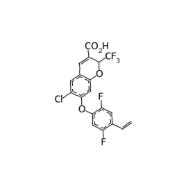 C=Cc1cc(F)c(Oc2cc3c(cc2Cl)C=C(C(=O)O)C(C(F)(F)F)O3)cc1F